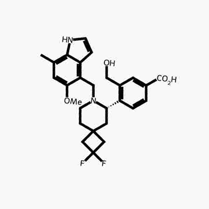 COc1cc(C)c2[nH]ccc2c1CN1CCC2(C[C@H]1c1ccc(C(=O)O)cc1CO)CC(F)(F)C2